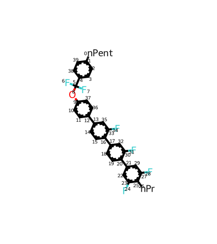 CCCCCc1ccc(C(F)(F)Oc2ccc(-c3ccc(-c4ccc(-c5cc(F)c(CCC)c(F)c5)c(F)c4)c(F)c3)cc2)cc1